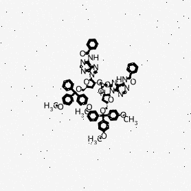 COc1ccc(C(OC[C@@H]2C[C@@H](O[PH](=O)O[C@@H]3C[C@@H](COC(c4ccccc4)(c4ccc(OC)cc4)c4ccc(OC)cc4)O[C@H]3n3cnc4c(NC(=O)c5ccccc5)ncnc43)[C@H](n3cnc4c(NC(=O)c5ccccc5)ncnc43)O2)(c2ccccc2)c2ccc(OC)cc2)cc1